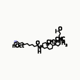 CCCCCCCC/C=C\CCCCCCCC(=O)N[C@H]1CC[C@@]2(C)C(CCC3C2CC[C@@]2(C)C3CC[C@@H]2[C@H](C)CCC(=O)I)C1